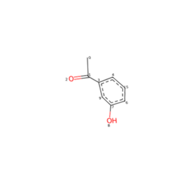 CC(=O)c1c[c]cc(O)c1